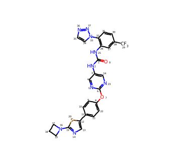 O=C(Nc1cnc(Oc2ccc(-c3cnc(N4CCC4)s3)cc2)nc1)Nc1cc(C(F)(F)F)ccc1-n1ccnn1